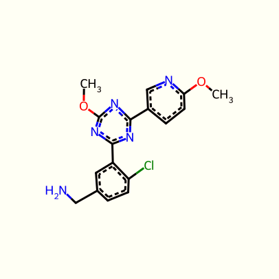 COc1ccc(-c2nc(OC)nc(-c3cc(CN)ccc3Cl)n2)cn1